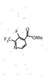 COC(=O)c1ccnc(C(F)(F)F)c1F